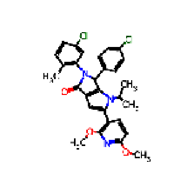 COc1ccc(-c2cc3c(n2C(C)C)C(c2ccc(Cl)cc2)N(c2cc(Cl)ccc2C)C3=O)c(OC)n1